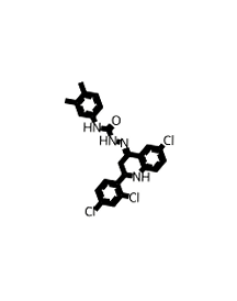 Cc1ccc(NC(=O)NN=C2CC(c3ccc(Cl)cc3Cl)Nc3ccc(Cl)cc32)cc1C